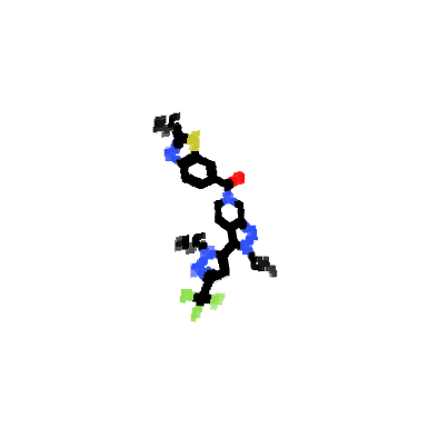 Cc1nc2ccc(C(=O)N3CCc4c(nn(C)c4-c4cc(C(F)(F)F)nn4C)C3)cc2s1